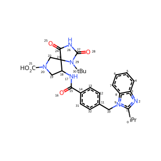 CC(C)c1nc2ccccc2n1Cc1ccc(C(=O)NC2CN(C(=O)O)CC23C(=O)NC(=O)N3C(C)(C)C)cc1